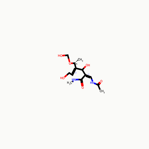 CNC(=O)/C(=C\NC(C)=O)C(O)/C(=C/CO)[C@@H](C)OCO